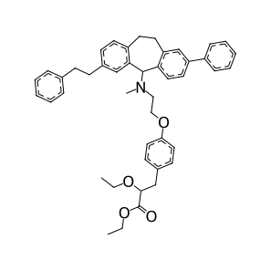 CCOC(=O)C(Cc1ccc(OCCN(C)C2c3ccc(-c4ccccc4)cc3CCc3ccc(CCc4ccccc4)cc32)cc1)OCC